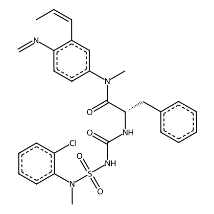 C=Nc1ccc(N(C)C(=O)[C@H](Cc2ccccc2)NC(=O)NS(=O)(=O)N(C)c2ccccc2Cl)cc1/C=C\C